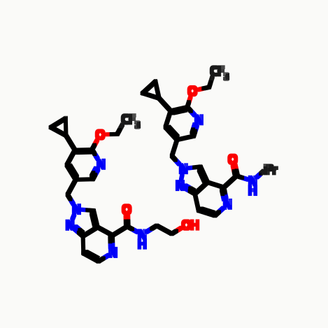 CC(C)NC(=O)c1nccc2nn(Cc3cnc(OCC(F)(F)F)c(C4CC4)c3)cc12.O=C(NCCO)c1nccc2nn(Cc3cnc(OCC(F)(F)F)c(C4CC4)c3)cc12